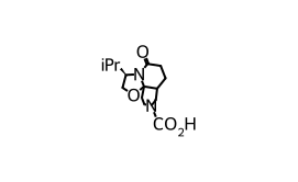 CC(C)[C@@H]1COC23CCN(C(=O)O)CC2CCC(=O)N13